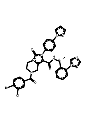 C[C@@H](NC(=O)c1c2n(c(=O)n1-c1ccc(-n3cccn3)cc1)CCN(C(=O)c1ccc(Br)c(Cl)c1)C2)c1ccccc1-n1cncn1